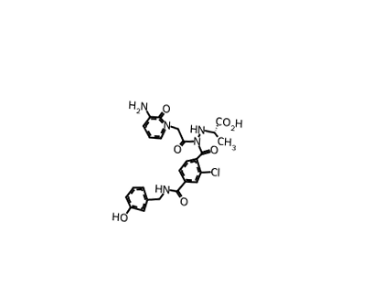 C[C@H](NN(C(=O)Cn1cccc(N)c1=O)C(=O)c1ccc(C(=O)NCc2cccc(O)c2)cc1Cl)C(=O)O